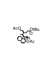 C#C/C(=C(C)\C(=C/COC(C)=O)CCC(=O)OC(C)(C)C)[C@]12CC=CCC1C=C[C@H](OC(C)=O)[C@@H]2O